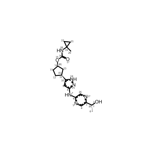 C[C@@H](O)c1cnc(Nc2cc([C@H]3CC[C@@H](OC(=O)NC4(C)CC4)C3)[nH]n2)cn1